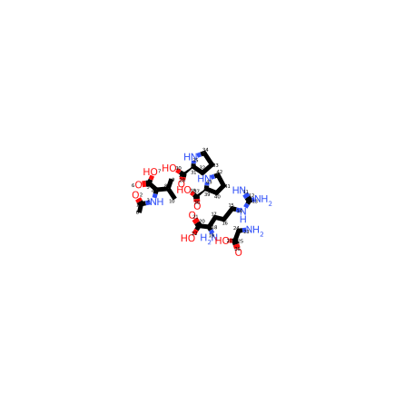 CC(=O)NC(C(=O)O)C(C)C.N=C(N)NCCCC(N)C(=O)O.NCC(=O)O.O=C(O)[C@@H]1CCCN1.O=C(O)[C@@H]1CCCN1